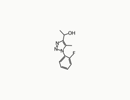 Cc1c(C(C)O)nnn1-c1ccccc1F